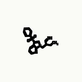 CCC(C=N)Cn1cc(S(=O)(=O)c2ccccc2)c2cccnc21